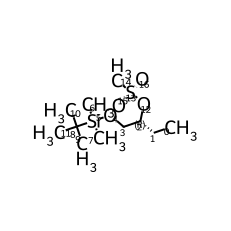 CC[C@H](CO[Si](C)(C)C(C)(C)C)OS(C)(=O)=O